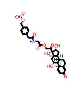 C[C@]12C=CC(=O)C=C1CC[C@H]1[C@@H]3C[C@@H](O)[C@](O)(C(=O)COC(=O)CNC(=O)Cc4ccc(CO[N+](=O)[O-])cc4)[C@@]3(C)C[C@H](O)[C@@]12F